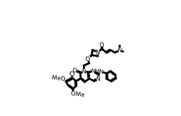 COc1cc(OC)c(Cl)c(-c2cc3cnc(Nc4ccccc4)nc3n(CCOC3CN(C(=O)/C=C/CN(C)C)C3)c2=O)c1